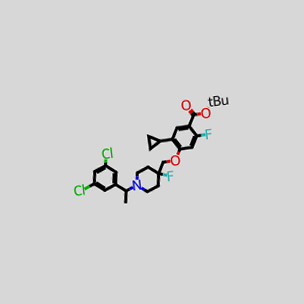 CC(c1cc(Cl)cc(Cl)c1)N1CCC(F)(COc2cc(F)c(C(=O)OC(C)(C)C)cc2C2CC2)CC1